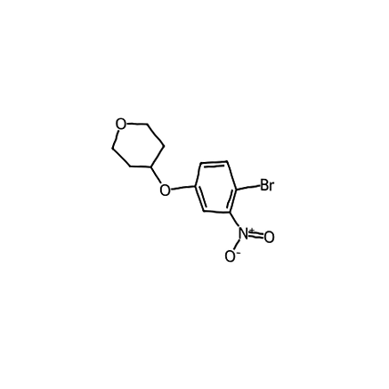 O=[N+]([O-])c1cc(OC2CCOCC2)ccc1Br